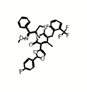 CON=C(c1ccccc1)C1CSc2c(Cc3c(F)cccc3C(F)(F)F)c(C)c(C3=COC(c4ccc(F)cc4)O3)c(=O)n21